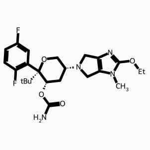 CCOc1nc2c(n1C)CN([C@H]1CO[C@@](c3cc(F)ccc3F)(C(C)(C)C)[C@@H](OC(N)=O)C1)C2